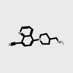 N#Cc1ccc(N2CCC(CN)CC2)c2cccnc12